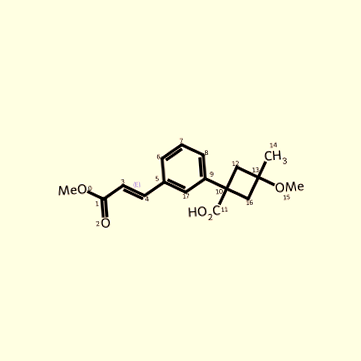 COC(=O)/C=C/c1cccc(C2(C(=O)O)CC(C)(OC)C2)c1